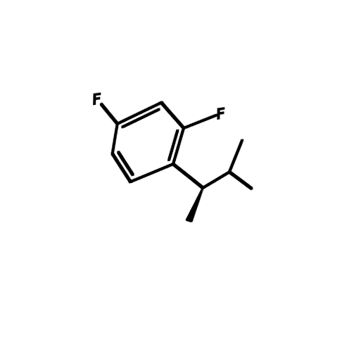 CC(C)[C@@H](C)c1ccc(F)cc1F